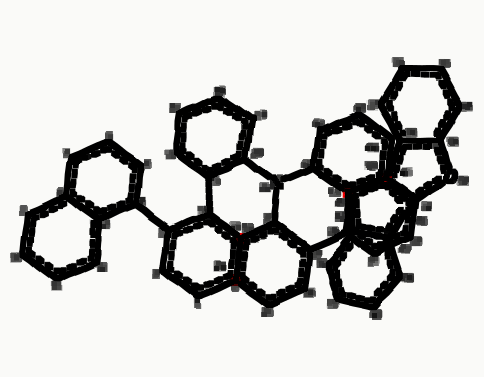 c1ccc(-c2cccc3ccccc23)c(-c2ccccc2N(c2ccccc2-c2ccc3oc4ccccc4c3c2)c2cccc3sc4ccccc4c23)c1